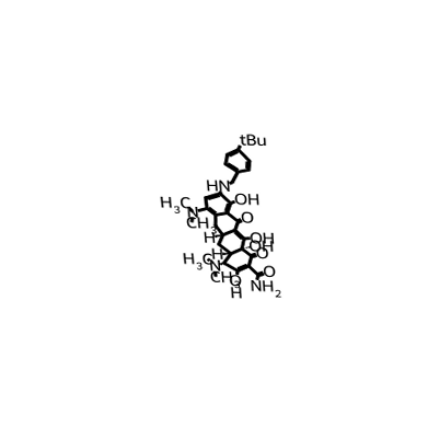 CN(C)c1cc(NCc2ccc(C(C)(C)C)cc2)c(O)c2c1C[C@H]1C[C@H]3[C@H](N(C)C)C(O)=C(C(N)=O)C(=O)[C@]3(O)C(O)=C1C2=O